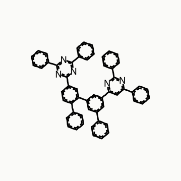 c1ccc(-c2cc(-c3cc(-c4ccccc4)nc(-c4ccccc4)n3)cc(-c3cc(-c4nc(-c5ccccc5)nc(-c5ccccc5)n4)ccc3-c3ccccc3)c2)cc1